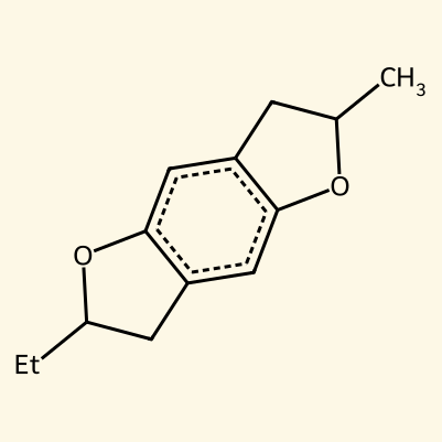 CCC1Cc2cc3c(cc2O1)CC(C)O3